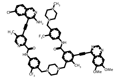 COc1cc2ncnc(C#Cc3cc(C(=O)Nc4ccc(CN5CCN(C)CC5)c(C(F)(F)F)c4)cc(CN4CCN(Cc5ccc(NC(=O)c6cc(C#Cc7c(N)ncc8ccc(Cl)cc78)c(C)cn6)cc5C(F)(F)F)CC4)c3C)c2cc1OC